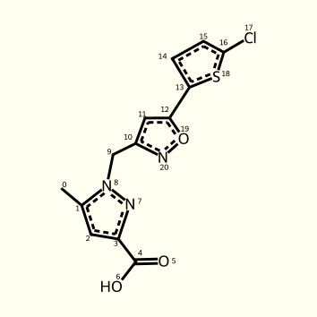 Cc1cc(C(=O)O)nn1Cc1cc(-c2ccc(Cl)s2)on1